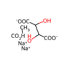 CC(=O)O.O=C([O-])C(O)C(O)C(=O)[O-].[Na+].[Na+]